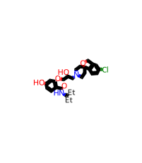 CCC(CC)NC(=O)c1ccc(O)cc1OC[C@H](O)CN1CCC2(CC1)OCc1cc(Cl)ccc12